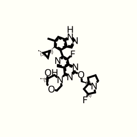 Cc1cc2[nH]ncc2c(-c2ncc3c(N4CCOC[C@@](C)(O)C4)nc(OC[C@@]45CCCN4C[C@H](F)C5)nc3c2F)c1[C@@H]1C[C@@H]1C